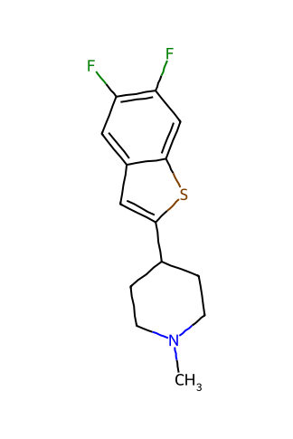 CN1CCC(c2cc3cc(F)c(F)cc3s2)CC1